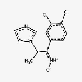 CC(C(=[NH+][O-])c1ccc(Cl)c(Cl)c1)n1ccnc1